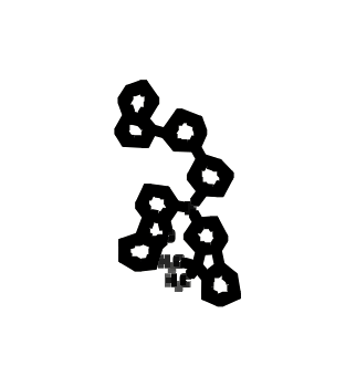 CC1(C)c2ccccc2-c2ccc(N(c3cccc(-c4cccc(-c5cccc6ccccc56)c4)c3)c3cccc4c3oc3ccccc34)cc21